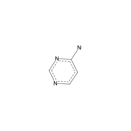 [N]c1ccncn1